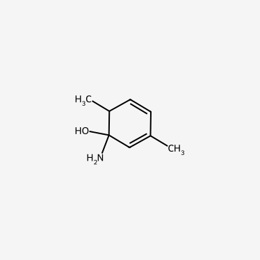 CC1=CC(N)(O)C(C)C=C1